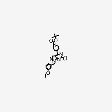 CCOc1cccc(Cn2ncc3c(C4CCN(C(=O)OC(C)(C)C)CC4)nc(Cl)nc32)c1